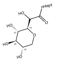 CCCCCCCC(=O)C(O)[C@H]1OC[C@H](O)[C@@H](O)[C@@H]1O